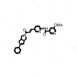 COc1cncc(C(=O)Nc2ccc(/C=C/C(=O)N3CC4C=C(c5ccccc5)CC4C3)cn2)c1